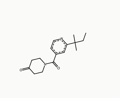 CCC(C)(C)c1cc(C(=O)N2CCC(=O)CC2)ccn1